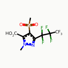 Cn1nc(C(F)(F)C(F)(F)C(F)(F)F)c(S(C)(=O)=O)c1C(=O)O